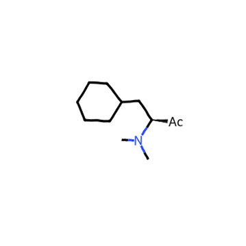 CC(=O)[C@H](CC1CCCCC1)N(C)C